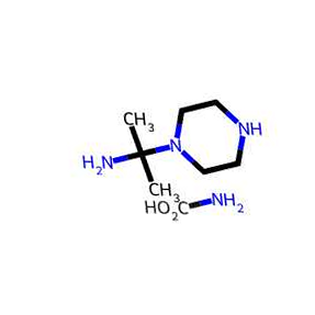 CC(C)(N)N1CCNCC1.NC(=O)O